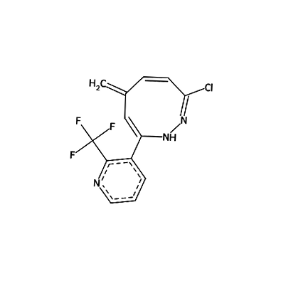 C=C1/C=C\C(Cl)=N/N/C(c2cccnc2C(F)(F)F)=C\1